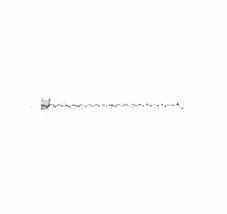 NCCCCCCCCCCCCCCCCCCCCCCCCCCCCCCCCCCCC[SiH](Cl)Cl